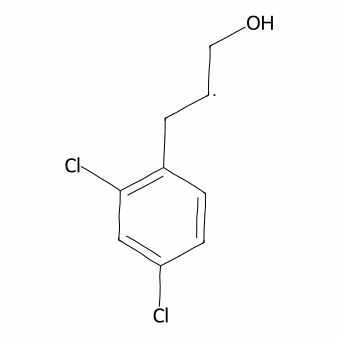 OC[CH]Cc1ccc(Cl)cc1Cl